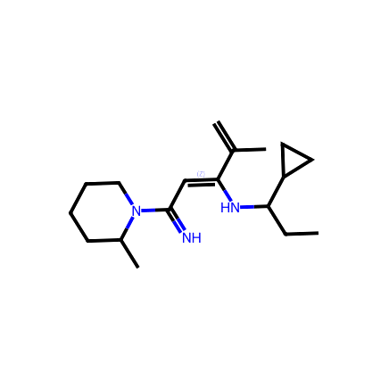 C=C(C)/C(=C/C(=N)N1CCCCC1C)NC(CC)C1CC1